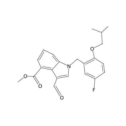 COC(=O)c1cccc2c1c(C=O)cn2Cc1cc(F)ccc1OCC(C)C